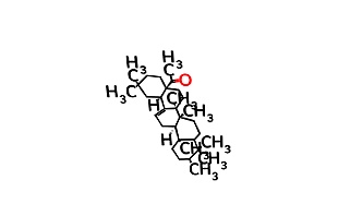 CC(=O)[C@]12CCC(C)(C)C[C@@H]1C1=CC[C@@H]3[C@@]4(C)CC[C@H](C)C(C)(C)C4CC[C@@]3(C)[C@]1(C)CC2